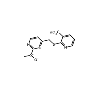 C[S+]([O-])c1nccc(CSc2ncccc2C(=O)O)n1